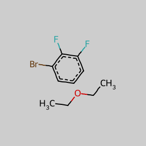 CCOCC.Fc1cccc(Br)c1F